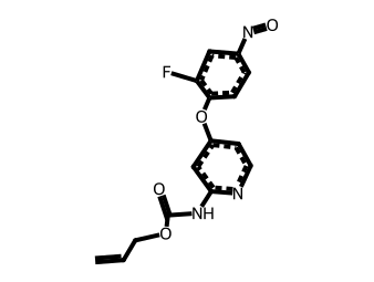 C=CCOC(=O)Nc1cc(Oc2ccc(N=O)cc2F)ccn1